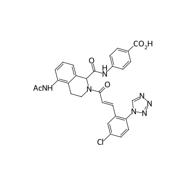 CC(=O)Nc1cccc2c1CCN(C(=O)C=Cc1cc(Cl)ccc1-n1cnnn1)C2C(=O)Nc1ccc(C(=O)O)cc1